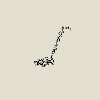 NCCOCCOCCOCCOCC#Cc1cccc2c1C(=O)N(C1CCC(=O)NC1=O)C2=O